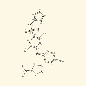 CN(C)C1CCN(c2cc(F)ccc2Nc2cc(F)c(S(=O)(=O)Nc3cscn3)cc2Cl)C1